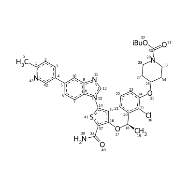 Cc1ccc(-c2ccc3c(c2)ncn3-c2cc(O[C@H](C)c3cccc(OC4CCN(C(=O)OCC(C)C)CC4)c3Cl)c(C(N)=O)s2)cn1